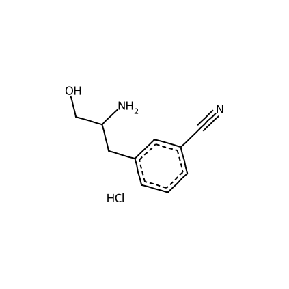 Cl.N#Cc1cccc(CC(N)CO)c1